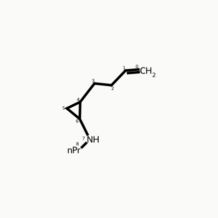 C=CCCC1CC1NCCC